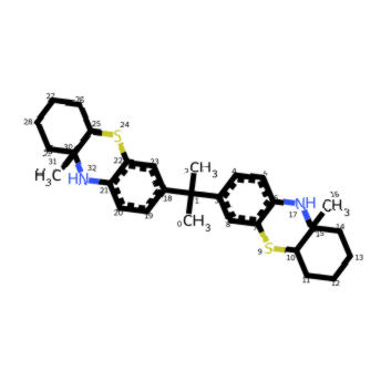 CC(C)(c1ccc2c(c1)SC1CCCCC1(C)N2)c1ccc2c(c1)SC1CCCCC1(C)N2